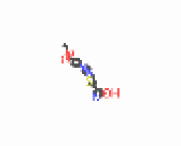 C=CCOC(=O)c1ccc(N2CCN(Cc3cc(-c4cncc(O)c4)cs3)CC2)cc1